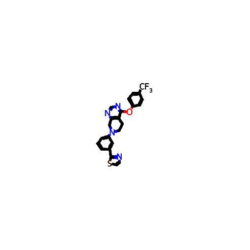 FC(F)(F)c1ccc(Oc2ncnc3c2CCN(c2cccc(-c4nccs4)c2)C3)cc1